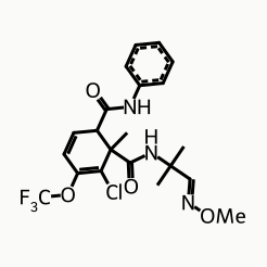 CON=CC(C)(C)NC(=O)C1(C)C(Cl)=C(OC(F)(F)F)C=CC1C(=O)Nc1ccccc1